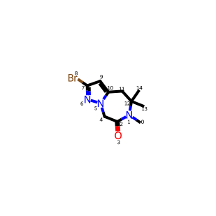 CN1C(=O)Cn2nc(Br)cc2CC1(C)C